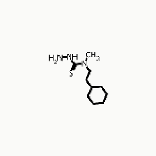 CN(CCC1CCCCC1)C(=S)NN